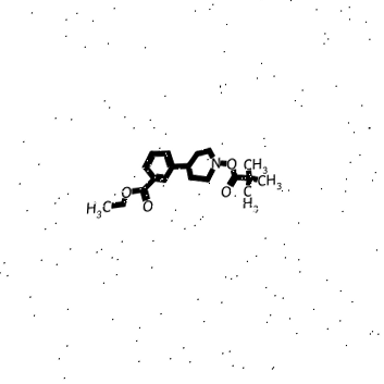 CCOC(=O)c1cccc(C2CCN(OC(=O)C(C)(C)C)CC2)c1